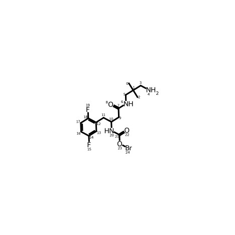 CC(C)(CN)CNC(=O)CC(Cc1cc(F)ccc1F)NC(=O)OBr